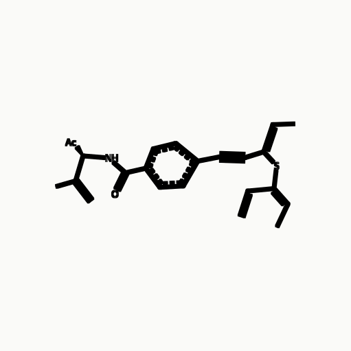 C=C/C(=C\C)S/C(C#Cc1ccc(C(=O)N[C@@H](C(=C)C)C(C)=O)cc1)=C\C